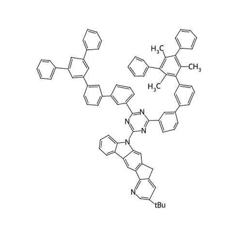 Cc1c(-c2ccccc2)c(C)c(-c2cccc(-c3cccc(-c4nc(-c5cccc(-c6cccc(-c7cc(-c8ccccc8)cc(-c8ccccc8)c7)c6)c5)nc(-n5c6ccccc6c6cc7c(cc65)Cc5cc(C(C)(C)C)cnc5-7)n4)c3)c2)c(C)c1-c1ccccc1